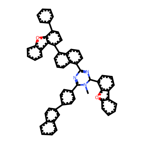 CN1C(c2ccc(-c3ccc4ccccc4c3)cc2)=NC(c2cccc3c(-c4ccc(-c5ccccc5)c5oc6ccccc6c45)cccc23)=NC1c1cccc2c1oc1ccccc12